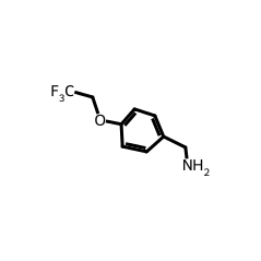 NCc1ccc(OCC(F)(F)F)cc1